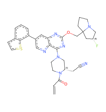 C=CC(=O)N1CCN(c2nc(OCC34CCCN3C[C@H](F)C4)nc3cc(-c4cccc5ccsc45)cnc23)C[C@@H]1CC#N